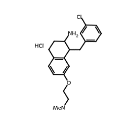 CNCCOc1ccc2c(c1)C(Cc1cccc(Cl)c1)C(N)CC2.Cl